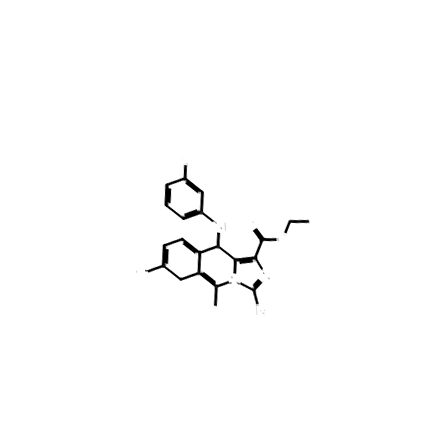 CCOC(=O)c1nc(Br)n2c1C(Nc1cccc(Cl)c1)C1=CC=C(Cl)CC1=C2C